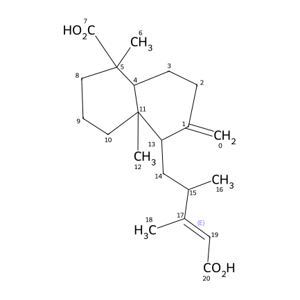 C=C1CCC2C(C)(C(=O)O)CCCC2(C)C1CC(C)/C(C)=C/C(=O)O